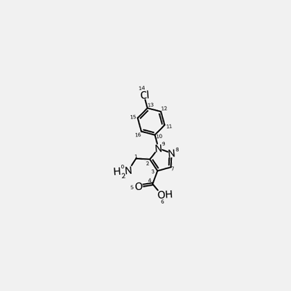 NCc1c(C(=O)O)cnn1-c1ccc(Cl)cc1